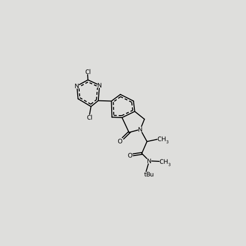 CC(C(=O)N(C)C(C)(C)C)N1Cc2ccc(-c3nc(Cl)ncc3Cl)cc2C1=O